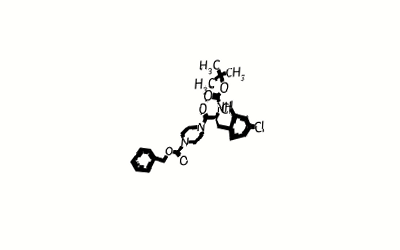 CC(C)(C)OC(=O)N[C@@H](Cc1ccc(Cl)cc1Cl)C(=O)N1CCN(C(=O)OCc2ccccc2)CC1